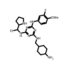 CCC(Nc1nc(NCC2CCC(N)CC2)nc(Nc2ccc(OC)c(F)c2)n1)C1CCCN1